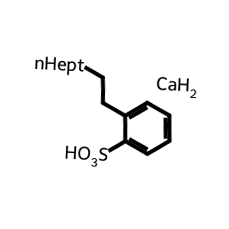 CCCCCCCCCc1ccccc1S(=O)(=O)O.[CaH2]